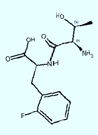 C[C@H](O)[C@@H](N)C(=O)NC(Cc1ccccc1F)C(=O)O